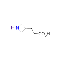 O=C(O)CCC1CN(I)C1